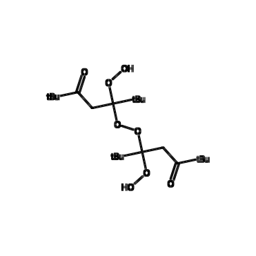 CC(C)(C)C(=O)CC(OO)(OOC(CC(=O)C(C)(C)C)(OO)C(C)(C)C)C(C)(C)C